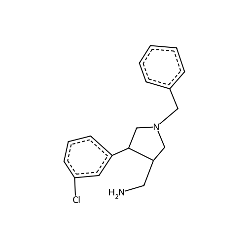 NCC1CN(Cc2ccccc2)CC1c1cccc(Cl)c1